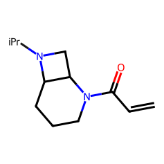 C=CC(=O)N1CCCC2C1CN2C(C)C